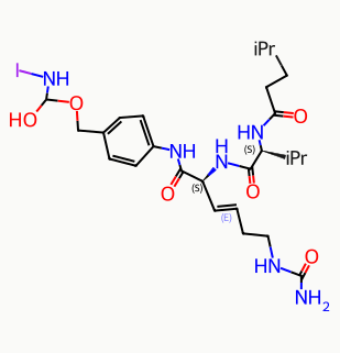 CC(C)CCC(=O)N[C@H](C(=O)N[C@@H](/C=C/CCNC(N)=O)C(=O)Nc1ccc(COC(O)NI)cc1)C(C)C